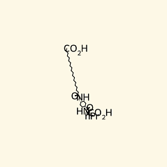 CCC[C@@H](NC(=O)[C@H]1CC[C@H](CNC(=O)CCCCCCCCCCCCCCCCCCC(=O)O)CC1)C(=O)O